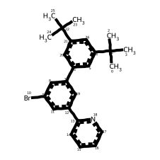 CC(C)(C)c1cc(-c2cc(Br)cc(-c3ccccn3)c2)cc(C(C)(C)C)c1